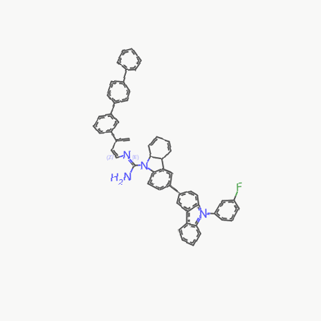 C=C(/C=C\N=C(/N)N1c2ccc(-c3ccc4c(c3)c3ccccc3n4-c3cccc(F)c3)cc2C2C=CC=CC21)c1cccc(-c2ccc(-c3ccccc3)cc2)c1